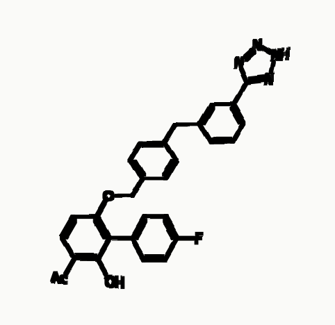 CC(=O)c1ccc(OCc2ccc(Cc3cccc(-c4nn[nH]n4)c3)cc2)c(-c2ccc(F)cc2)c1O